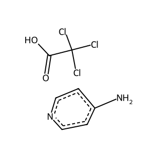 Nc1ccncc1.O=C(O)C(Cl)(Cl)Cl